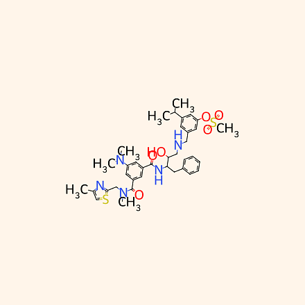 Cc1csc(CN(C)C(=O)c2cc(C(=O)NC(Cc3ccccc3)C(O)CNCc3cc(OS(C)(=O)=O)cc(C(C)C)c3)cc(N(C)C)c2)n1